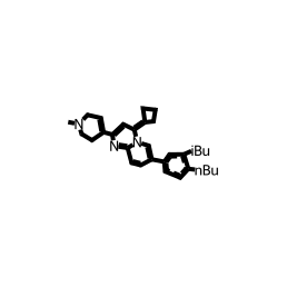 CCCCc1ccc(C2=CN3C(=NC(C4=CCN(C)CC4)=CC3=C3CCC3)C=C2)cc1C(C)CC